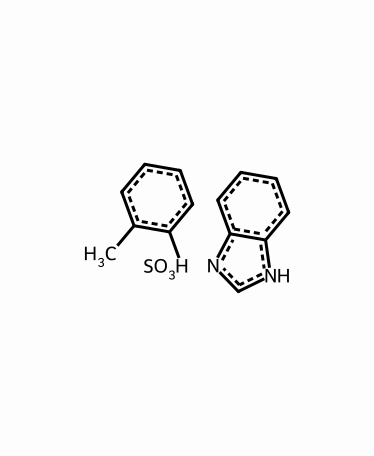 Cc1ccccc1S(=O)(=O)O.c1ccc2[nH]cnc2c1